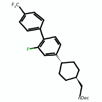 CCCCCCCCCCC[C@H]1CC[C@H](c2ccc(-c3ccc(C(F)(F)F)cc3)c(F)c2)CC1